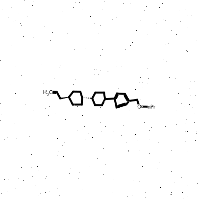 C=CC[C@H]1CC[C@H](C2CCC(c3ccc(COCCC)cc3)CC2)CC1